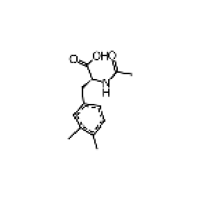 CC(=O)N[C@@H](Cc1ccc(C)c(C)c1)C(=O)O